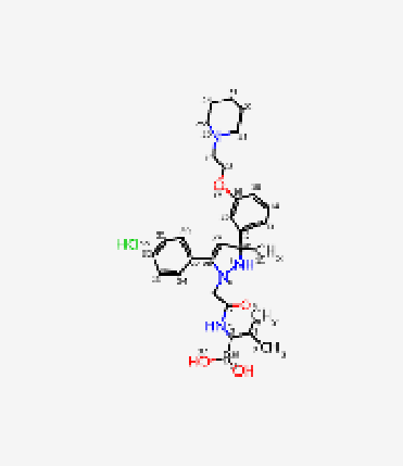 CC(C)C(NC(=O)CN1NC(C)(c2cccc(OCCN3CCCCC3)c2)C=C1c1ccccc1)B(O)O.Cl